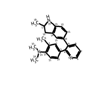 Cc1cc(-c2ncccc2-c2ccc3c(c2)CC(C)N3)ccc1N(C)C